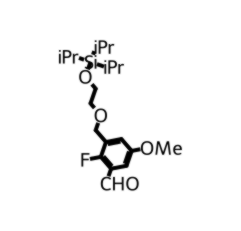 COc1cc(C=O)c(F)c(COCCO[Si](C(C)C)(C(C)C)C(C)C)c1